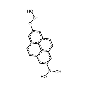 OBOc1cc2ccc3cc(B(O)O)cc4ccc(c1)c2c34